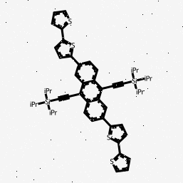 CC(C)[Si](C#Cc1c2ccc(-c3ccc(-c4cccs4)s3)cc2c(C#C[Si](C(C)C)(C(C)C)C(C)C)c2ccc(-c3ccc(-c4cccs4)s3)cc12)(C(C)C)C(C)C